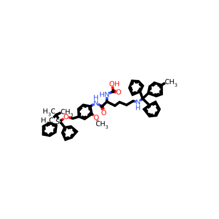 COc1cc(CO[Si](c2ccccc2)(c2ccccc2)C(C)(C)C)ccc1NC(=O)C(CCCCNC(c1ccccc1)(c1ccccc1)c1ccc(C)cc1)NC(=O)O